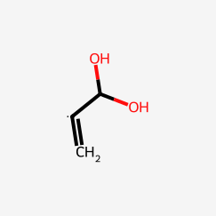 C=[C]C(O)O